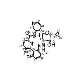 C[C@]1(O)[C@H](N)C[C@H](c2ccncc2NC(=O)c2ccc(F)c(-c3c(F)cccc3F)n2)O[C@@H]1C1CC1